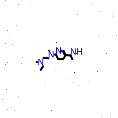 CCN(C)CCN(C)C1=NC=C(C(C)=N)CC1